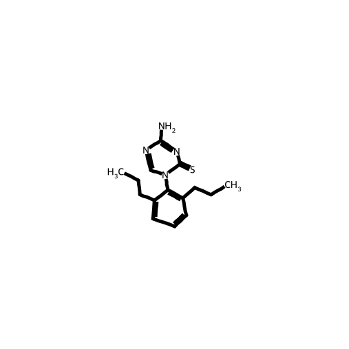 CCCc1cccc(CCC)c1-n1cnc(N)nc1=S